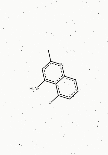 Cc1cc(N)c2c(F)cccc2n1